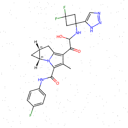 Cc1c(C(=O)C(O)NC2(c3cnn[nH]3)CC(F)(F)C2)c2n(c1C(=O)Nc1ccc(F)cc1)[C@@H]1C[C@@H]1C2